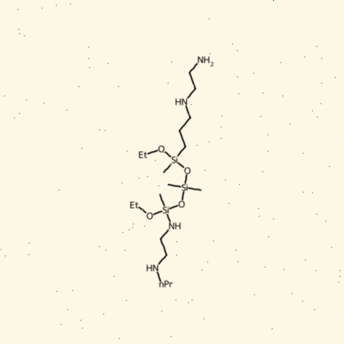 CCCNCCN[Si](C)(OCC)O[Si](C)(C)O[Si](C)(CCCNCCN)OCC